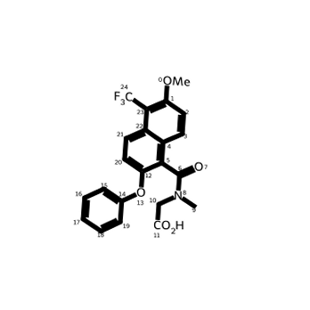 COc1ccc2c(C(=O)N(C)CC(=O)O)c(Oc3ccccc3)ccc2c1C(F)(F)F